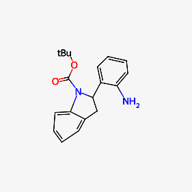 CC(C)(C)OC(=O)N1c2ccccc2CC1c1ccccc1N